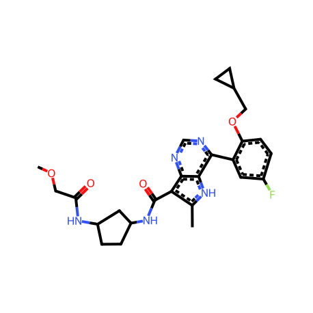 COCC(=O)NC1CCC(NC(=O)c2c(C)[nH]c3c(-c4cc(F)ccc4OCC4CC4)ncnc23)C1